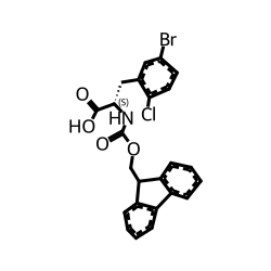 O=C(N[C@@H](Cc1cc(Br)ccc1Cl)C(=O)O)OCC1c2ccccc2-c2ccccc21